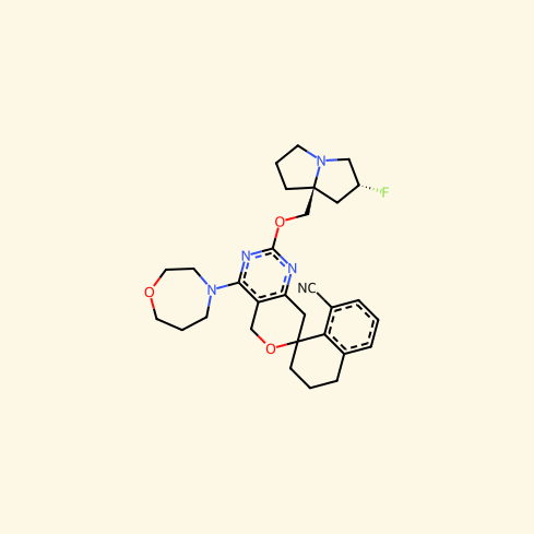 N#Cc1cccc2c1C1(CCC2)Cc2nc(OC[C@@]34CCCN3C[C@H](F)C4)nc(N3CCCOCC3)c2CO1